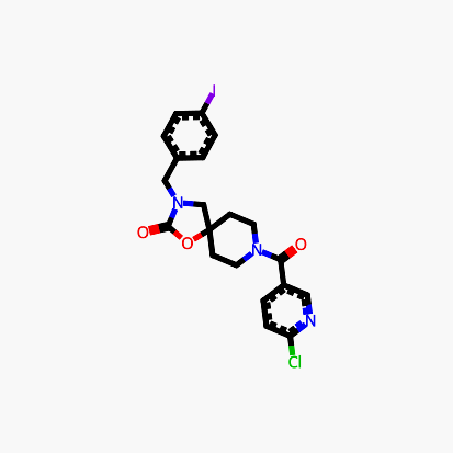 O=C1OC2(CCN(C(=O)c3ccc(Cl)nc3)CC2)CN1Cc1ccc(I)cc1